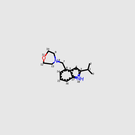 CC(C)c1cc2c(CN3CCOCC3)cccc2[nH]1